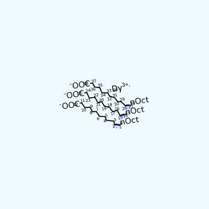 CCCCCCCC/C=C\CCCCCCCCCC(=O)[O-].CCCCCCCC/C=C\CCCCCCCCCC(=O)[O-].CCCCCCCC/C=C\CCCCCCCCCC(=O)[O-].[Dy+3]